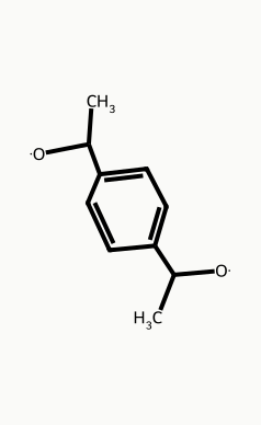 CC([O])c1ccc(C(C)[O])cc1